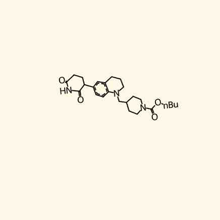 CCCCOC(=O)N1CCC(CN2CCCc3cc(C4CCC(=O)NC4=O)ccc32)CC1